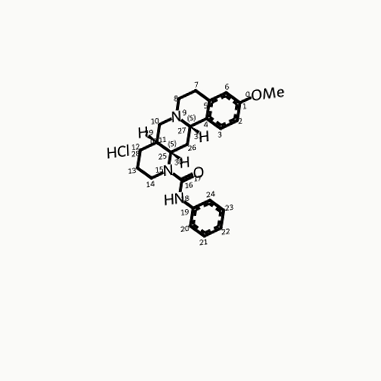 COc1ccc2c(c1)CCN1C[C@H]3CCCN(C(=O)Nc4ccccc4)[C@H]3C[C@@H]21.Cl